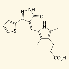 Cc1[nH]c(C=C2C(=O)NN=C2c2cccs2)c(C)c1CCC(=O)O